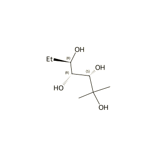 CC[C@@H](O)[C@@H](O)[C@H](O)C(C)(C)O